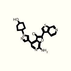 Nc1ncc(-c2cnn(C3CCC(O)CC3)c2)c2c(Cl)c(-c3csc4cnccc34)oc12